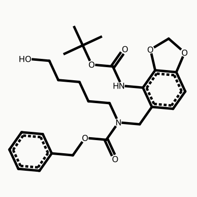 CC(C)(C)OC(=O)Nc1c(CN(CCCCCO)C(=O)OCc2ccccc2)ccc2c1OCO2